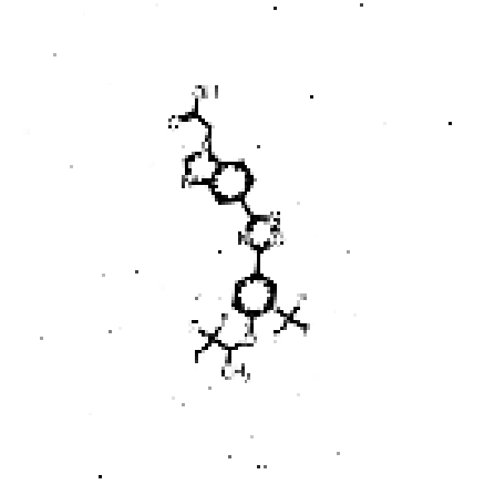 CC(Oc1ccc(-c2nc(-c3ccc4c(c3)ncn4CC(=O)O)no2)cc1C(F)(F)F)C(F)(F)F